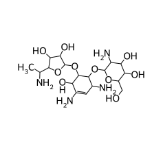 CC(N)C1OC(OC2C(O)C(N)=CC(N)C2OC2OC(CO)C(O)C(O)C2N)C(O)C1O